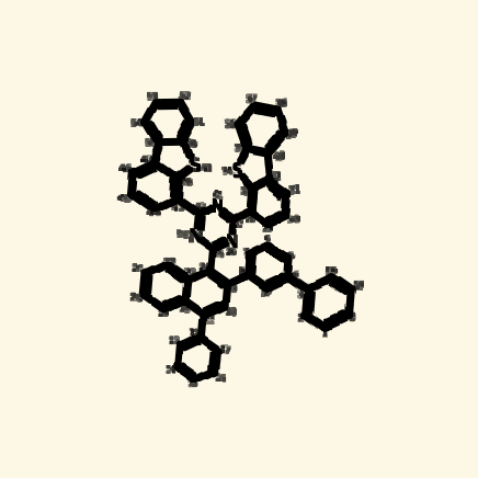 c1ccc(-c2cccc(-c3cc(-c4ccccc4)c4ccccc4c3-c3nc(-c4cccc5c4sc4ccccc45)nc(-c4cccc5c4sc4ccccc45)n3)c2)cc1